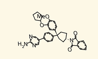 COc1ccc([C@]2(c3ccc(-c4cnc(N)nc4)cc3)CC[C@@H](N3C(=O)c4ccccc4C3=O)CC2)cc1OC1CCCC1